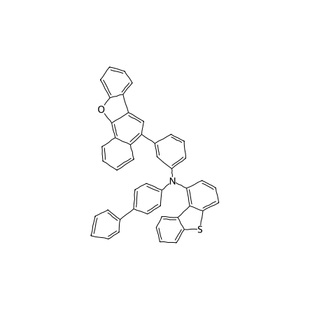 c1ccc(-c2ccc(N(c3cccc(-c4cc5c6ccccc6oc5c5ccccc45)c3)c3cccc4sc5ccccc5c34)cc2)cc1